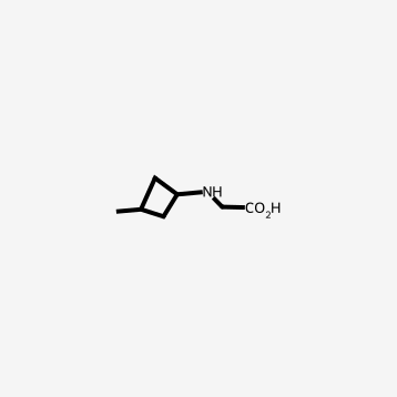 CC1CC(NCC(=O)O)C1